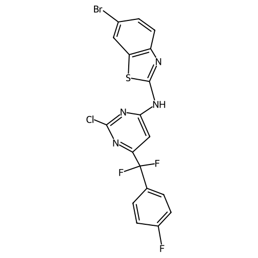 Fc1ccc(C(F)(F)c2cc(Nc3nc4ccc(Br)cc4s3)nc(Cl)n2)cc1